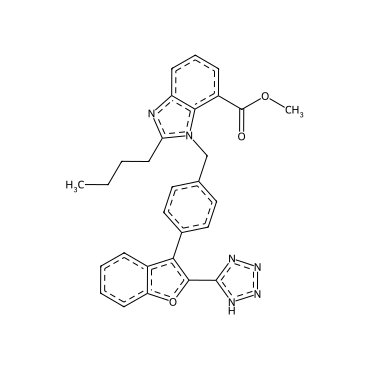 CCCCc1nc2cccc(C(=O)OC)c2n1Cc1ccc(-c2c(-c3nnn[nH]3)oc3ccccc23)cc1